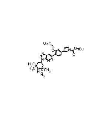 COCOc1cc(-c2ccn(C(=O)OC(C)(C)C)c2)ccc1-c1cc2nnn(C3CC(C)(C)NC(C)(C)C3)c2nn1